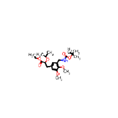 CCOC(=O)C(Cc1cc(CNC(=O)OC(C)(C)C)c(OC)c(OC)c1)OC(C)C